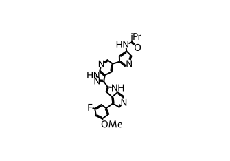 COc1cc(F)cc(-c2cncc3[nH]c(-c4n[nH]c5ncc(-c6cncc(NC(=O)C(C)C)c6)cc45)cc23)c1